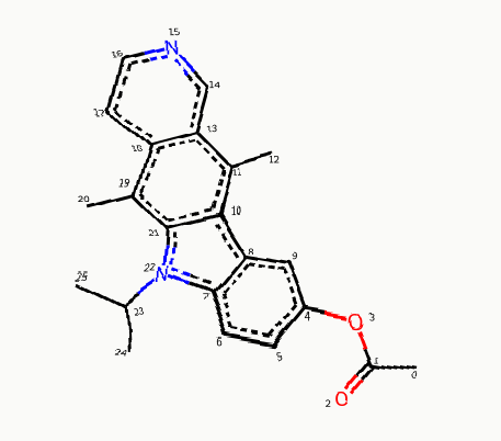 CC(=O)Oc1ccc2c(c1)c1c(C)c3cnccc3c(C)c1n2C(C)C